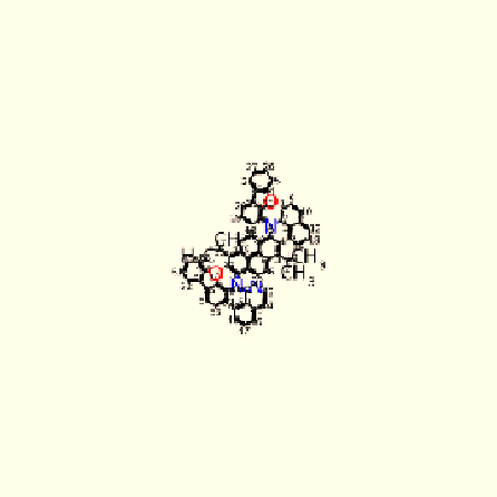 CC(C)c1cc(N(c2cccc3ccccc23)c2cccc3c2oc2ccccc23)c2ccc3c(C(C)C)cc(N(c4nccc5ccccc45)c4cccc5c4oc4ccccc45)c4ccc1c2c34